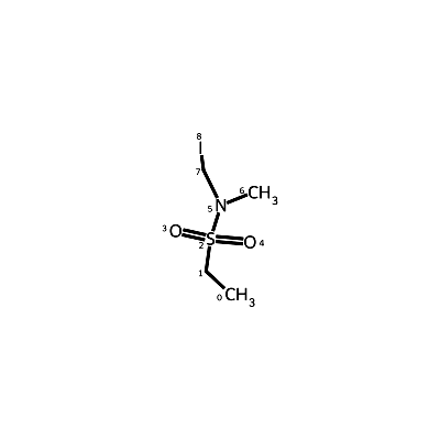 CCS(=O)(=O)N(C)CI